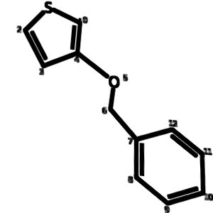 [c]1sccc1OCc1ccccc1